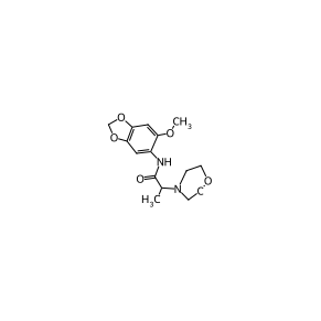 COc1cc2c(cc1NC(=O)C(C)N1CCOCC1)OCO2